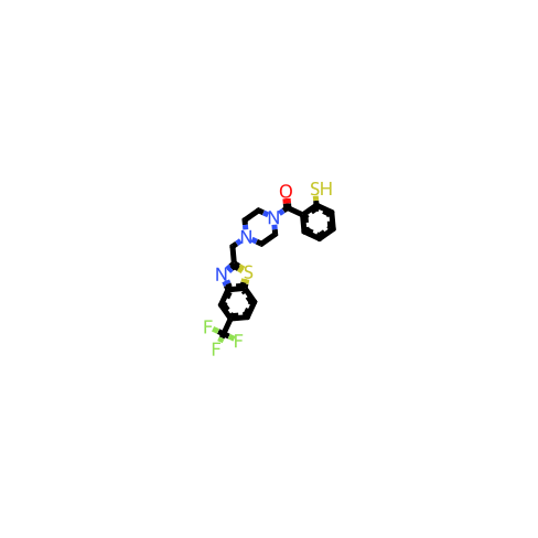 O=C(c1ccccc1S)N1CCN(Cc2nc3cc(C(F)(F)F)ccc3s2)CC1